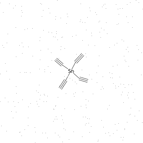 C#[C][Sn]([C]#C)([C]#C)[C]#C